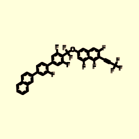 Fc1cc(-c2ccc3ccccc3c2)ccc1-c1cc(F)c(C(F)(F)Oc2cc(F)c3c(F)c(C#CC(F)(F)F)c(F)cc3c2)c(F)c1